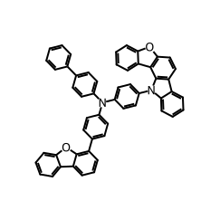 c1ccc(-c2ccc(N(c3ccc(-c4cccc5c4oc4ccccc45)cc3)c3ccc(-n4c5ccccc5c5ccc6oc7ccccc7c6c54)cc3)cc2)cc1